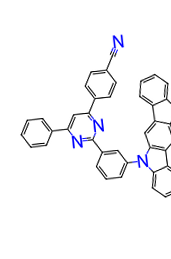 N#Cc1ccc(-c2cc(-c3ccccc3)nc(-c3cccc(-n4c5ccccc5c5cc6c(cc54)-c4ccccc4C6)c3)n2)cc1